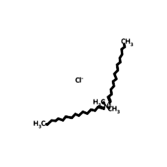 CCCCCCCCCCCCCCC=C[N+](C)(C)C=CCCCCCCCCCCCCCC.[Cl-]